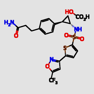 NC(=O)CCc1ccc([C@H]2C[C@@H]2NS(=O)(=O)c2ccc(-c3cc(C(F)(F)F)on3)s2)cc1.O=C(O)O